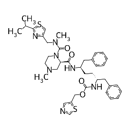 CC(C)c1nc(CN(C)C(=O)N2CCN(C)C[C@@H]2C(=O)N[C@H](CC[C@H](Cc2ccccc2)NC(=O)OCc2cncs2)Cc2ccccc2)cs1